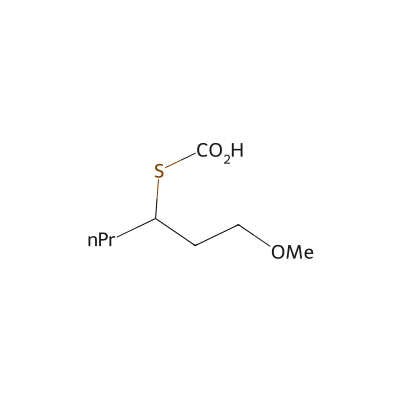 CCCC(CCOC)SC(=O)O